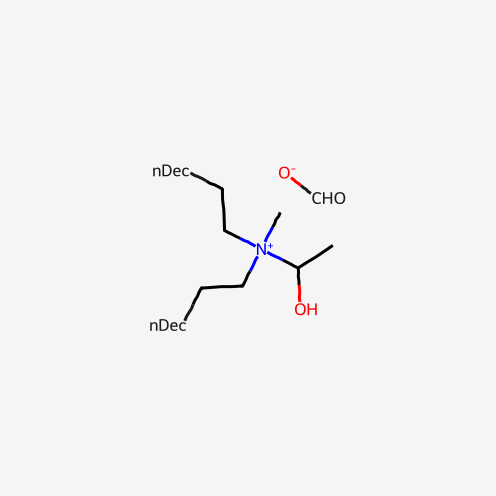 CCCCCCCCCCCC[N+](C)(CCCCCCCCCCCC)C(C)O.O=C[O-]